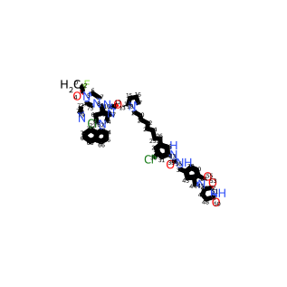 C=C(F)C(=O)N1CCN(c2nc(OC[C@@H]3CCCN3CCCCCCCCc3cc(Cl)cc(NC(=O)NCc4ccc5c(c4)CN(C4CCC(=O)NC4=O)C5=O)c3)nc3c2CCN(c2cccc4cccc(Cl)c24)C3)C[C@@H]1CC#N